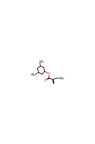 C=C(CC(C)(C)C)C(=O)OC1CC(C(C)(C)C)CC(C(C)(C)C)C1